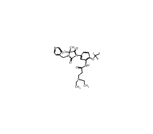 CCN(CC)CCC(=O)Nc1cc(N2C(=O)N(Cc3ccncc3)C(C)(C)C2=O)ccc1OC(F)(F)F